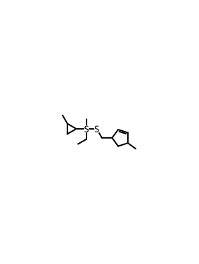 CCS(C)(SCC1C=CC(C)C1)C1CC1C